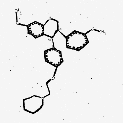 COc1cccc([C@@H]2COc3cc(OC)ccc3[C@@H]2c2ccc(OCCN3CCCCC3)cc2)c1